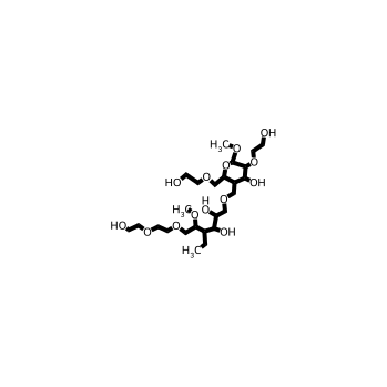 CCC(C(COCCOCCO)OC)C(O)C(O)COCC1C(COCCO)OC(OC)C(OCCO)C1O